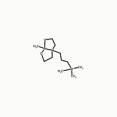 C[B-]12OCC[N+]1(CCC[N+](C)(C)C)CCO2